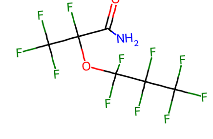 NC(=O)C(F)(OC(F)(F)C(F)(F)C(F)(F)F)C(F)(F)F